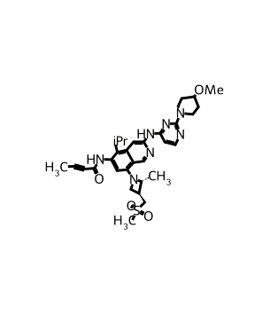 CC#CC(=O)Nc1cc(N2C[C@H](CS(C)(=O)=O)[C@H]2C)c2cnc(Nc3ccnc(N4CCC(OC)CC4)n3)cc2c1C(C)C